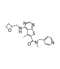 Cc1c(C(=O)N(C)Cc2ccncc2)sc2ncnc(NCC3CCO3)c12